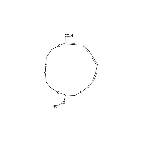 O=C(O)C1=CC=CC=CC=CCCCC(OO)CCCCCCCC1